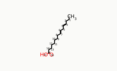 CCCC=CCC=CCCCCCCCC(=O)O